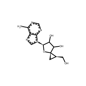 Nc1ncnc2c1ncn2[C@@H]1O[C@]2(C[C@@H]2CO)C(O)C1O